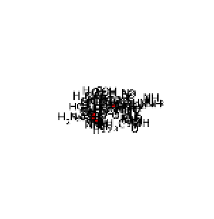 CC(C)C[C@H](NC(=O)[C@H](CCCNC(=N)N)NC(=O)[C@H](CCC(N)=O)NC(=O)[C@@H](NC(=O)[C@H](C)NC(=O)[C@H](CS)NC(=O)[C@@H](NC(=O)[C@H](C)NC(=O)[C@@H](NC(=O)[C@H](CC(N)=O)NC(=O)[C@H](CS)NC(=O)[C@@H](N)CCCCN)[C@@H](C)O)[C@@H](C)O)[C@@H](C)O)C(=O)O